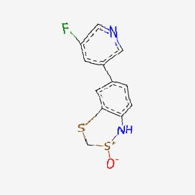 [O-][S+]1CSc2cc(-c3cncc(F)c3)ccc2N1